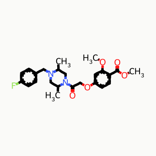 COC(=O)c1ccc(OCC(=O)N2CC(C)N(Cc3ccc(F)cc3)CC2C)cc1OC